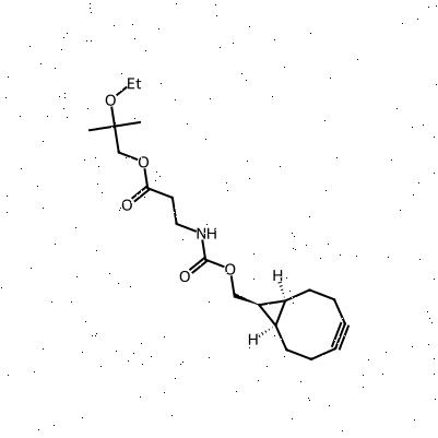 CCOC(C)(C)COC(=O)CCNC(=O)OC[C@@H]1[C@@H]2CCC#CCC[C@@H]21